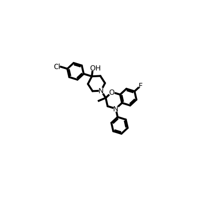 CC1(N2CCC(O)(c3ccc(Cl)cc3)CC2)CN(c2ccccc2)c2ccc(F)cc2O1